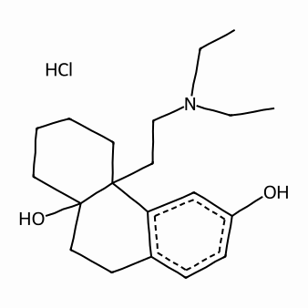 CCN(CC)CCC12CCCCC1(O)CCc1ccc(O)cc12.Cl